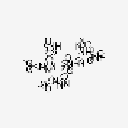 CCOC(=O)C1CCCN(c2ncnc3ccc(C=C4SC(=O)NC4=O)cc23)C1.CCOC(=O)C1CCN(c2ncnc3ccc(C=C4SC(=O)NC4=O)cc23)CC1.O=C1NC(=O)C(=Cc2ccc3ncnc(NCc4cccnc4)c3c2)S1